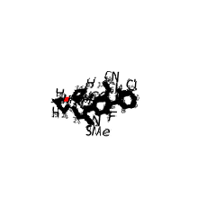 CSc1nc2c(F)c(-c3cccc(Cl)c3Cl)c(CCC#N)cc2c2c1cc([C@H]1C[C@H]3C[C@H]3N1)n2[C@H]1[C@@H]2C[C@H]1N(C(=O)O)C2